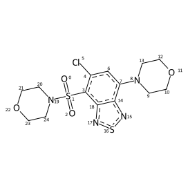 O=S(=O)(c1c(Cl)cc(N2CCOCC2)c2nsnc12)N1CCOCC1